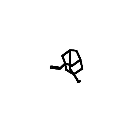 O=CC12CC3CC(CC(Br)(C3)C1)C2